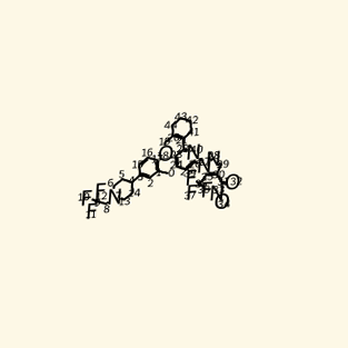 Cc1cc(C2CCN(CC(F)(F)F)CC2)ccc1OCC1=C(c2cccc(-n3ncc(C(=O)N=O)c3C(F)(F)F)n2)CCCC1